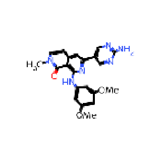 COc1cc(Nc2nc(-c3cnc(N)nc3)cc3ccn(C)c(=O)c23)cc(OC)c1